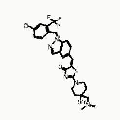 CN(C)CC1(O)CCN(C2=NC(=O)C(=Cc3ccc4c(cnn4Cc4ccc(Cl)cc4C(F)(F)F)c3)S2)CC1